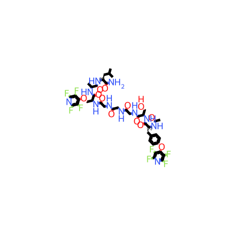 CC(=O)N[C@H](Cc1ccc(Oc2c(F)c(F)nc(F)c2F)cc1)C(=O)NC(CO)C(=O)NCC(=O)NCC(=O)NCC(=O)NC(COc1c(F)c(F)nc(F)c1F)C(=O)NC(C)C(=O)N[C@@H](CC(C)C)C(N)=O